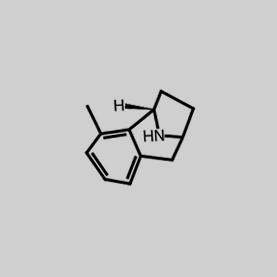 Cc1cccc2c1[C@@H]1CCC(C2)N1